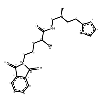 C[C@@H](CCc1ncc[nH]1)CNC(=O)C(S)CCCN1C(=O)c2ccccc2C1=O